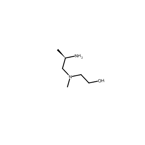 C[C@@H](N)CN(C)CCO